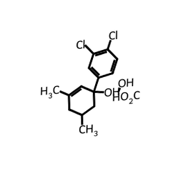 CC1=CC(O)(c2ccc(Cl)c(Cl)c2)CC(C)C1.O=C(O)O